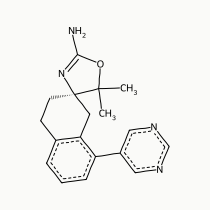 CC1(C)OC(N)=N[C@@]12CCc1cccc(-c3cncnc3)c1C2